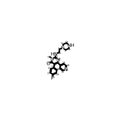 Cn1c(NCCN2CCNCC2)nc(-c2ccncc2)c(-c2ccc(F)cc2)c1=O